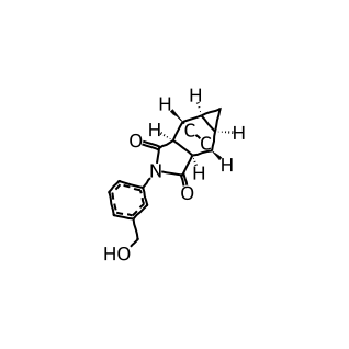 O=C1[C@@H]2[C@@H]3CC[C@@H]([C@H]4C[C@H]43)[C@@H]2C(=O)N1c1cccc(CO)c1